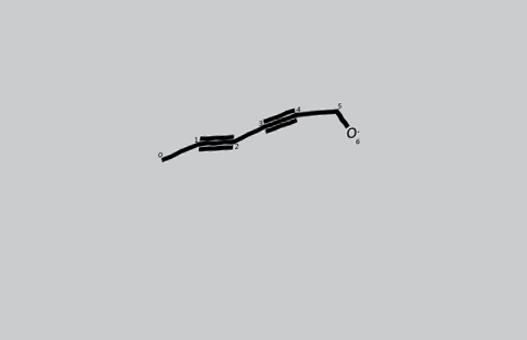 CC#CC#CC[O]